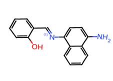 Nc1ccc(/N=C/c2ccccc2O)c2ccccc12